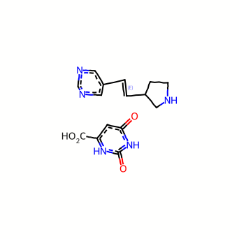 C(=C\C1CCNC1)/c1cncnc1.O=C(O)c1cc(=O)[nH]c(=O)[nH]1